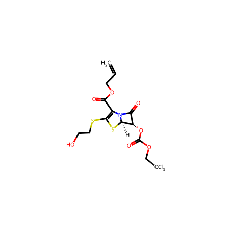 C=CCOC(=O)C1=C(SCCO)S[C@@H]2[C@@H](OC(=O)OCC(Cl)(Cl)Cl)C(=O)N12